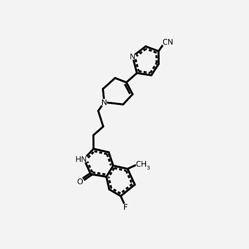 Cc1cc(F)cc2c(=O)[nH]c(CCCN3CC=C(c4ccc(C#N)cn4)CC3)cc12